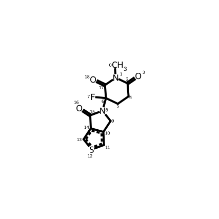 CN1C(=O)CCC(F)(N2Cc3cscc3C2=O)C1=O